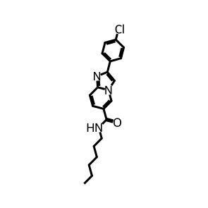 CCCCCCNC(=O)c1ccc2nc(-c3ccc(Cl)cc3)cn2c1